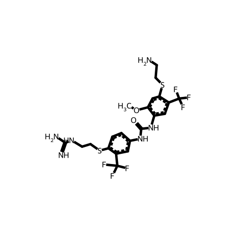 COc1cc(SCCN)c(C(F)(F)F)cc1NC(=O)Nc1ccc(SCCNC(=N)N)c(C(F)(F)F)c1